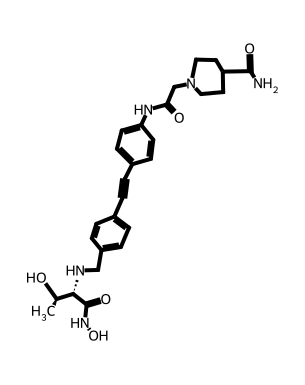 C[C@@H](O)[C@H](NCc1ccc(C#Cc2ccc(NC(=O)CN3CCC(C(N)=O)CC3)cc2)cc1)C(=O)NO